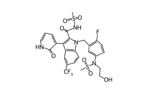 CS(=O)(=O)NC(=O)c1c(-c2ccc[nH]c2=O)c2cc(C(F)(F)F)ccc2n1Cc1cc(N(CCO)S(C)(=O)=O)ccc1F